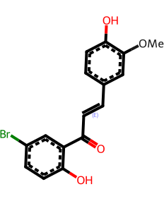 COc1cc(/C=C/C(=O)c2cc(Br)ccc2O)ccc1O